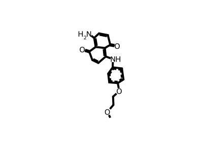 COCCOc1ccc(NC2=C3C(=O)C=CC(N)=C3C(=O)C=C2)cc1